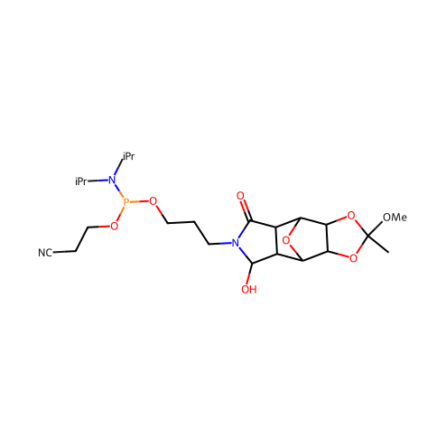 COC1(C)OC2C(O1)C1OC2C2C(=O)N(CCCOP(OCCC#N)N(C(C)C)C(C)C)C(O)C12